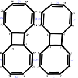 C1=C\C=C/C2C(\C=C/1)C1\C=C/C=C\C=C/C21.C1=C\C=C/C2C(\C=C/1)C1\C=C/C=C\C=C/C21